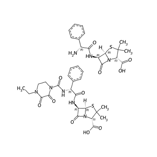 CC1(C)S[C@@H]2[C@H](NC(=O)[C@H](N)c3ccccc3)C(=O)N2[C@H]1C(=O)O.CCN1CCN(C(=O)N[C@@H](C(=O)N[C@@H]2C(=O)N3[C@@H]2SC(C)(C)[C@@H]3C(=O)O)c2ccccc2)C(=O)C1=O